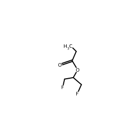 CCC(=O)OC(CF)CF